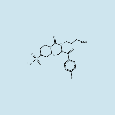 CNCCC[C@@H](C(=O)N1CCN(S(C)(=O)=O)CC1)N(C)C(=O)c1ccc(F)cc1